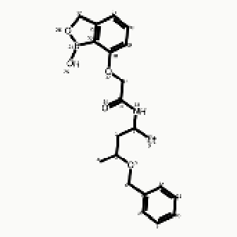 CCC(CC(C)OCc1ccccc1)NC(=O)COc1cccc2c1B(O)OC2